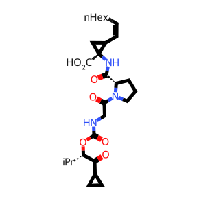 CCCCCC/C=C\C1C[C@]1(NC(=O)[C@@H]1CCCN1C(=O)CNC(=O)O[C@H](C(=O)C1CC1)C(C)C)C(=O)O